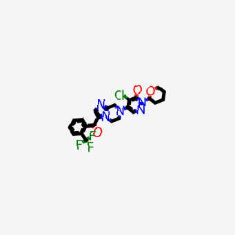 O=C(c1ccccc1C(F)(F)F)c1cnc2n1CCN(c1cnn(C3CCCCO3)c(=O)c1Cl)C2